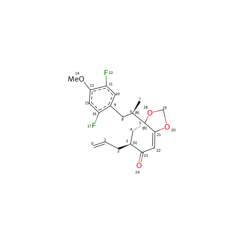 C=CC[C@H]1C[C@]2([C@H](C)Cc3cc(F)c(OC)cc3F)OCOC2=CC1=O